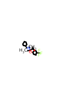 CCC(Oc1ccc(C(F)(F)F)cc1)(C1CC1)N(C)Cc1ccccc1